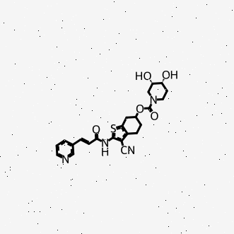 N#Cc1c(NC(=O)/C=C/c2cccnc2)sc2c1CCC(OC(=O)N1CC[C@@H](O)[C@@H](O)C1)C2